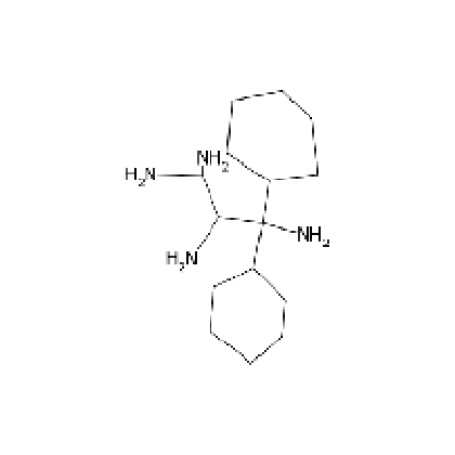 NC(N)C(N)C(N)(C1CCCCC1)C1CCCCC1